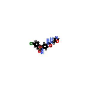 O=C(NCc1cnco1)Nc1ccc(NS(=O)(=O)Cc2cccc(Cl)c2)cc1